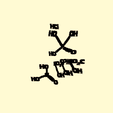 Cl.O=C(O)O.O=C(O)O.O=P(O)(O)O.O=S(=O)(O)O.O=[Si](O)O